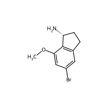 COc1cc(Br)cc2c1[C@H](N)CC2